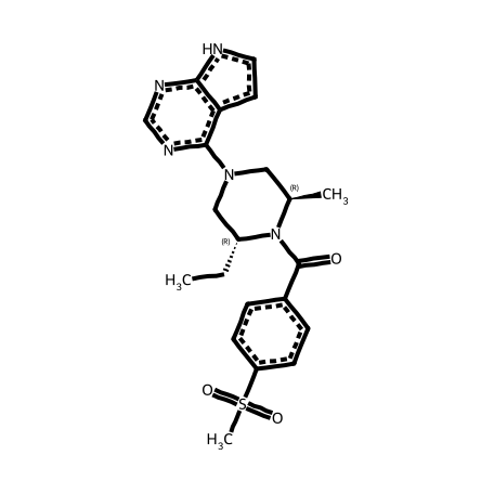 CC[C@@H]1CN(c2ncnc3[nH]ccc23)C[C@@H](C)N1C(=O)c1ccc(S(C)(=O)=O)cc1